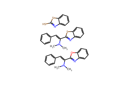 CN(C)C(=Cc1ccccc1)c1nc2ccccc2o1.CN(C)C(=Cc1ccccc1)c1nc2ccccc2s1.Sc1nc2ccccc2s1